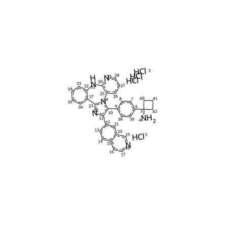 Cl.Cl.Cl.Cl.NC1(c2ccc(-c3c(-c4ccc5ccncc5c4)nc4n3-c3cccnc3Nc3ccccc3-4)cc2)CCC1